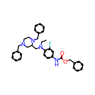 CCN(CC1CN(Cc2ccccc2)CCN1Cc1ccccc1)c1ccc(NC(=O)OCc2ccccc2)cc1F